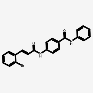 O=C(C=Cc1ccccc1Br)Nc1ccc(C(=O)Nc2ccccc2)cc1